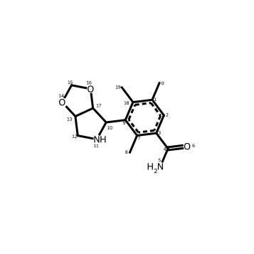 Cc1cc(C(N)=O)c(C)c(C2NCC3OCOC32)c1C